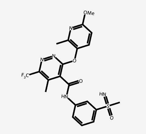 COc1ccc(Oc2nnc(C(F)(F)F)c(C)c2C(=O)Nc2cccc(S(C)(=N)=O)c2)c(C)n1